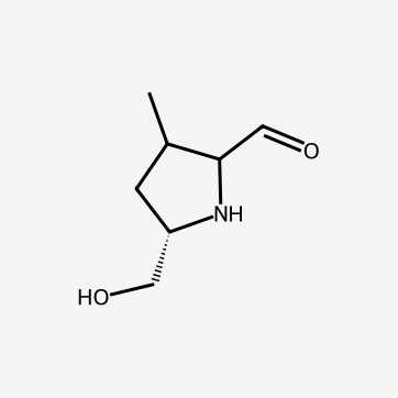 CC1C[C@@H](CO)NC1C=O